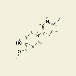 COCC1(O)CCN(c2ccc(C)nc2)CC1